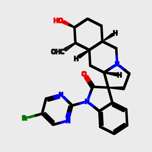 O=C[C@@H]1[C@H]2C[C@@H]3N(CC[C@@]34C(=O)N(c3ncc(Br)cn3)c3ccccc34)C[C@@H]2CC[C@@H]1O